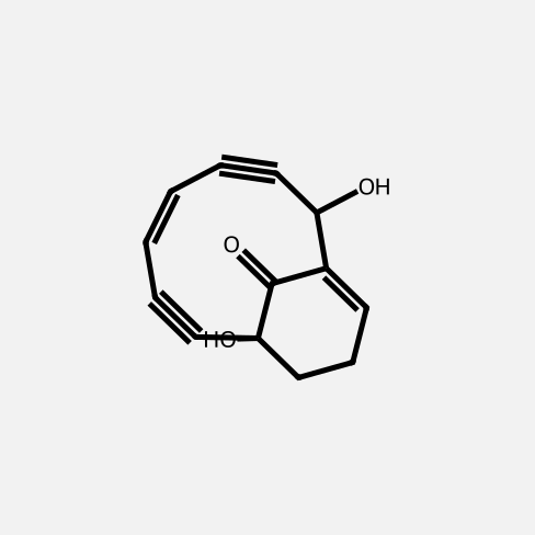 O=C1C2=CCCC1(O)C#CC=CC#CC2O